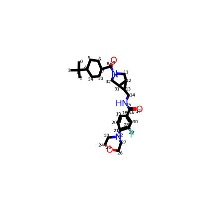 CC(C)(C)C1CCC(C(=O)N2CC3C(CNC(=O)c4ccc(N5CCOCC5)c(F)c4)C3C2)CC1